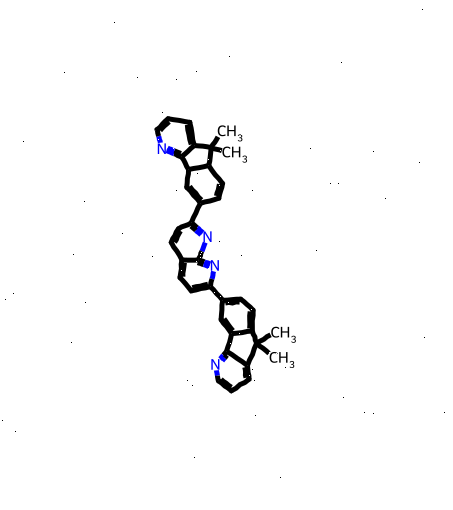 CC1(C)c2ccc(-c3ccc4ccc(C5=CC6c7ncccc7C(C)(C)C6C=C5)nc4n3)cc2-c2ncccc21